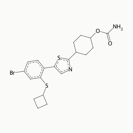 NC(=O)OC1CCC(c2ncc(-c3ccc(Br)cc3SC3CCC3)s2)CC1